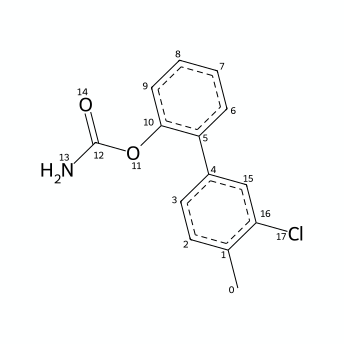 Cc1ccc(-c2ccccc2OC(N)=O)cc1Cl